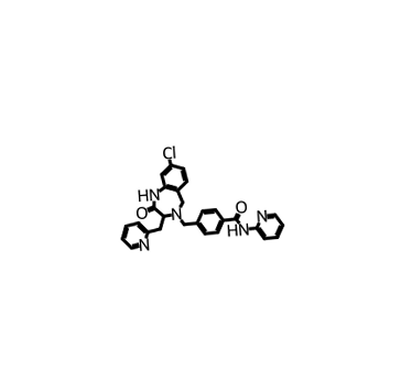 O=C(Nc1ccccn1)c1ccc(CN2Cc3ccc(Cl)cc3NC(=O)C2Cc2ccccn2)cc1